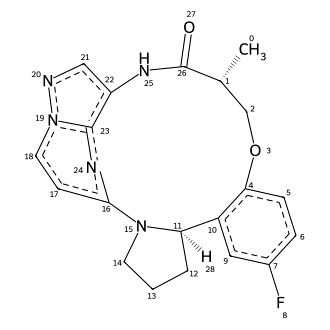 C[C@@H]1COc2ccc(F)cc2[C@H]2CCCN2c2ccn3ncc(c3n2)NC1=O